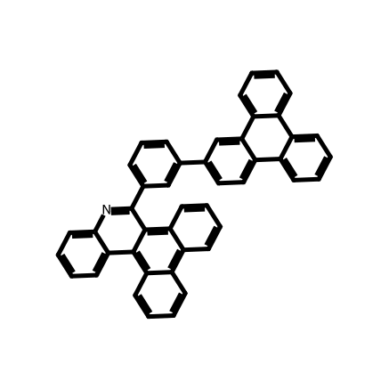 c1cc(-c2ccc3c4ccccc4c4ccccc4c3c2)cc(-c2nc3ccccc3c3c4ccccc4c4ccccc4c23)c1